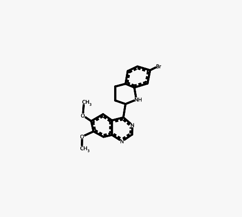 COc1cc2ncnc(C3CCc4ccc(Br)cc4N3)c2cc1OC